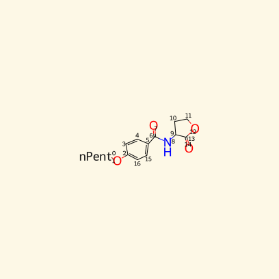 CCCCCOc1ccc(C(=O)NC2CCOC2=O)cc1